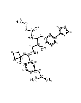 COCC(=O)N[C@@H](Cc1cccc(-c2nccs2)c1)[C@@H](O)CN[C@H]1CC2(CCC2)Oc2ncc(CC(C)C)cc21